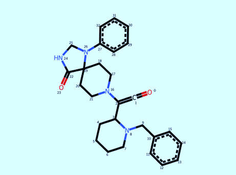 O=C=C(C1CCCCN1Cc1ccccc1)N1CCC2(CC1)C(=O)NCN2c1ccccc1